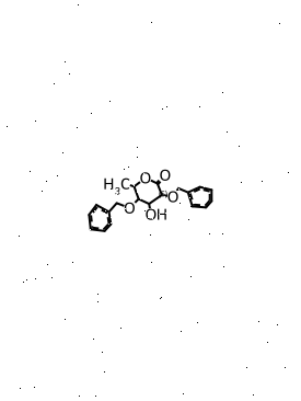 CC1OC(=O)[C@@H](OCc2ccccc2)C(O)C1OCc1ccccc1